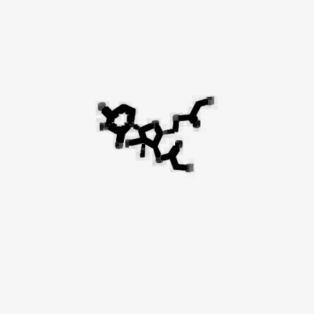 C[C@@]1(F)[C@H](OC(=O)CCl)[C@@H](COC(=O)CCl)O[C@H]1n1ccc(=O)[nH]c1=O